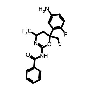 Nc1ccc(F)c(C2(CF)CC(C(F)(F)F)N=C(NC(=O)c3ccccc3)O2)c1